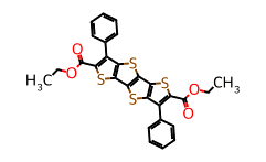 CCOC(=O)c1sc2c(sc3c4sc(C(=O)OCC)c(-c5ccccc5)c4sc23)c1-c1ccccc1